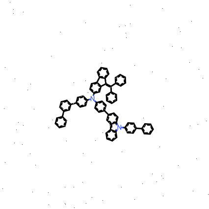 c1ccc(C(=C2c3ccccc3-c3ccc(N(c4ccc(-c5cccc(-c6ccccc6)c5)cc4)c4ccc(-c5ccc6c(c5)c5ccccc5n6-c5ccc(-c6ccccc6)cc5)cc4)cc32)c2ccccc2)cc1